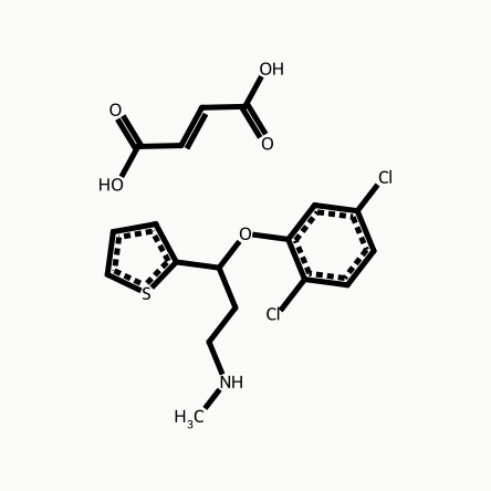 CNCCC(Oc1cc(Cl)ccc1Cl)c1cccs1.O=C(O)C=CC(=O)O